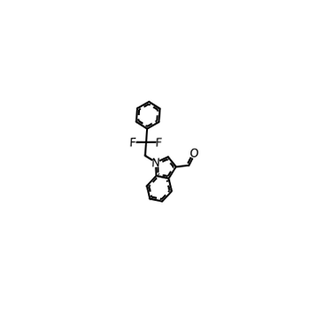 O=Cc1cn(CC(F)(F)c2ccccc2)c2ccccc12